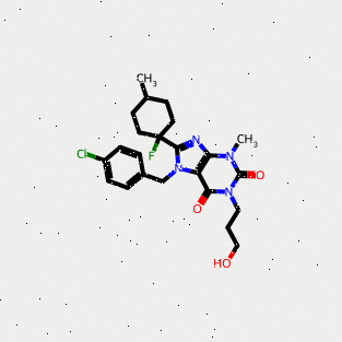 CC1CCC(F)(c2nc3c(c(=O)n(CCCO)c(=O)n3C)n2Cc2ccc(Cl)cc2)CC1